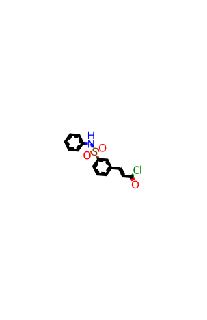 O=C(Cl)/C=C/c1cccc(S(=O)(=O)Nc2ccccc2)c1